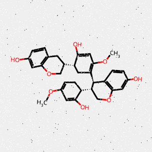 COC1=CCC([C@H]2COc3cc(O)ccc3[C@@H]2C2=C(OC)C=C(O)[C@@H](C3COc4cc(O)ccc4C3)C2)C(O)=C1